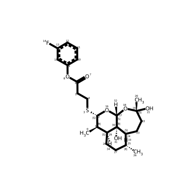 C[C@H]1[C@H](SCCC(=O)Oc2cccc(F)c2)O[C@@H]2O[C@](C)(O)CC[C@H]3[C@H](C)CC[C@@H]1[C@@]23O